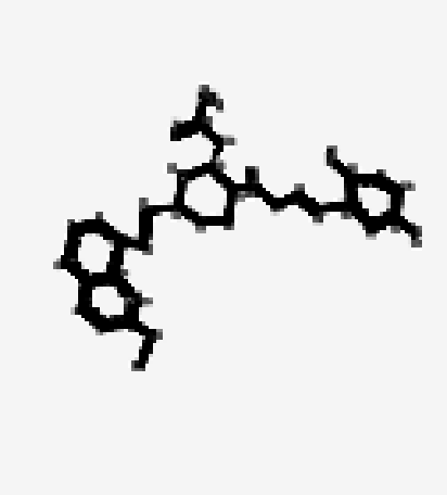 COc1ccc2nccc(C=C[C@@H]3CC[C@@H](NC/C=C/c4cc(F)ccc4F)[C@@H](CC(N)=O)O3)c2n1